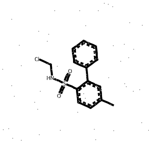 Cc1ccc(S(=O)(=O)NCCl)c(-c2ccccc2)c1